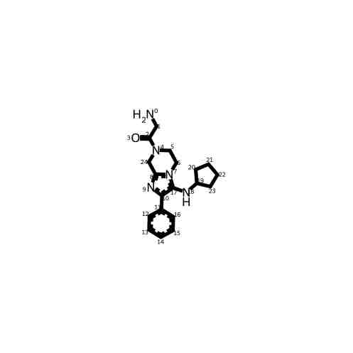 NCC(=O)N1CCn2c(nc(-c3ccccc3)c2NC2CCCC2)C1